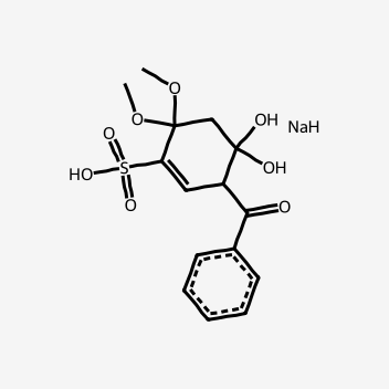 COC1(OC)CC(O)(O)C(C(=O)c2ccccc2)C=C1S(=O)(=O)O.[NaH]